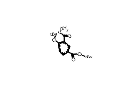 CC(C)(C)OC(=O)c1ccc(OC(C)(C)C)c(C(=O)ON)c1